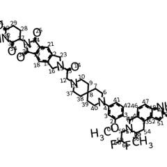 COc1cc(N2CCC3(CCN(CC(=O)N4Cc5cc6c(cc5C4)C(=O)N(C4CCC(=O)NC4=O)C6=O)CC3)CC2)ccc1[C@@H]1c2ccc3[nH]ncc3c2C[C@@H](C)N1CC(F)F